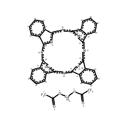 O=C([O][GeH2][O]C(=O)C(F)(F)F)C(F)(F)F.c1ccc2c(c1)-c1nc-2nc2[nH]c(nc3nc(nc4[nH]c(n1)c1ccccc41)-c1ccccc1-3)c1ccccc21